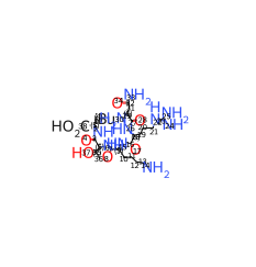 CC[C@H](C)[C@H](NC(=O)[C@@H](NC(=O)[C@H](CCCCN)NC(=O)[C@H](CCCNC(=N)N)NC(=O)[C@@H](N)CC(N)=O)[C@@H](C)O)C(=O)O